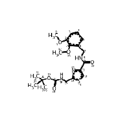 COc1cccc(CNC(=O)c2csc(CNC(=O)OC(C)(C)C)n2)c1OC